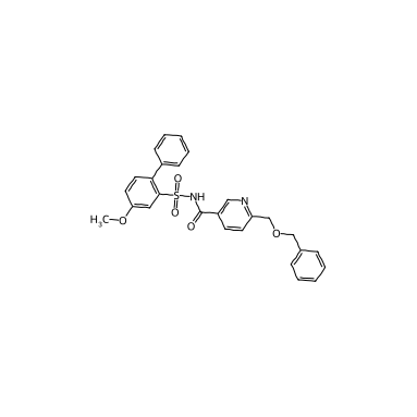 COc1ccc(-c2ccccc2)c(S(=O)(=O)NC(=O)c2ccc(COCc3ccccc3)nc2)c1